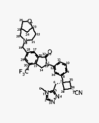 Cn1cnnc1C[C@]1(c2cccc(N3Cc4c(cc(CN5CCC6CC(CO6)C5)cc4C(F)(F)F)C3=O)c2)C[C@H](C#N)C1